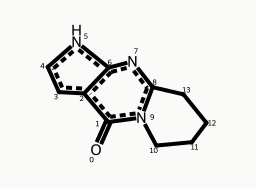 O=c1c2cc[nH]c2nc2n1CCCC2